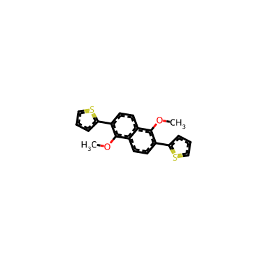 COc1c(-c2cccs2)ccc2c(OC)c(-c3cccs3)ccc12